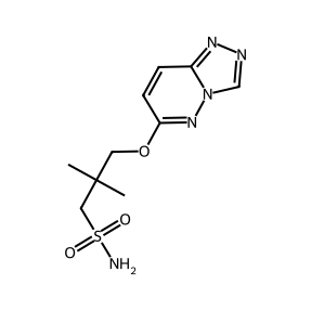 CC(C)(COc1ccc2nncn2n1)CS(N)(=O)=O